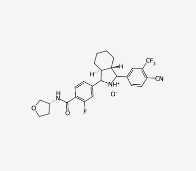 N#Cc1ccc(C2[C@H]3CCCC[C@@H]3C(c3ccc(C(=O)N[C@@H]4CCOC4)c(F)c3)[NH+]2[O-])cc1C(F)(F)F